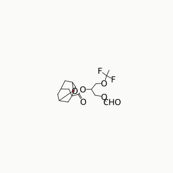 CC(F)(F)OCC(COC=O)OC(=O)C12CC3CC(C1)C(=O)C(C3)C2